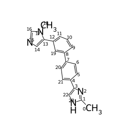 Cc1nc(-c2ccc(-c3[c]ccc(-c4cncn4C)c3)cc2)c[nH]1